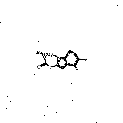 CC(C)(C)OC(=O)Oc1cc2c(I)c(F)ccc2n1C(=O)O